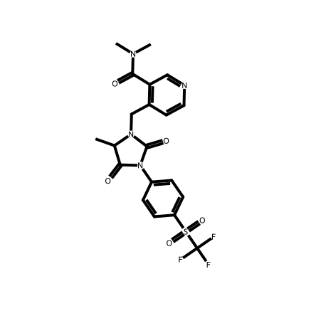 CC1C(=O)N(c2ccc(S(=O)(=O)C(F)(F)F)cc2)C(=O)N1Cc1ccncc1C(=O)N(C)C